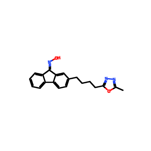 Cc1nnc(CCCCc2ccc3c(c2)/C(=N\O)c2ccccc2-3)o1